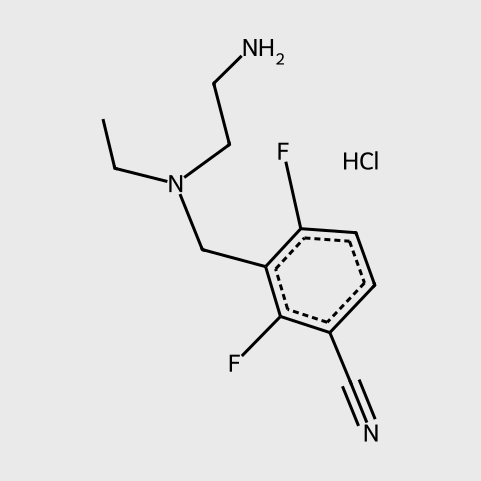 CCN(CCN)Cc1c(F)ccc(C#N)c1F.Cl